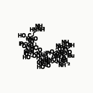 CC[C@H](C)[C@H](NC(=O)[C@H](CS)NC(=O)CN)C(=O)N[C@@H](CC(C)C)C(=O)N[C@@H](CC(N)=O)C(=O)NCC(=O)N[C@@H](CCCNC(=N)N)C(=O)N[C@H](C(=O)N[C@@H](CC(=O)O)C(=O)N[C@@H](CC(C)C)C(=O)NCC(=O)N[C@H](C(=O)N[C@@H](CC(C)C)C(=O)N[C@@H](CC(C)C)C(=O)N[C@@H](Cc1ccccc1)C(=O)N[C@@H](CCCNC(=N)N)C(=O)O)[C@@H](C)O)[C@@H](C)O